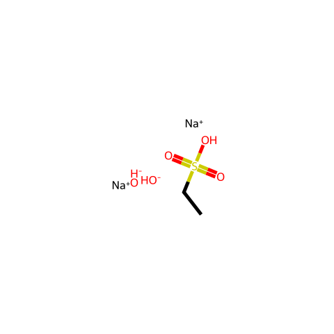 CCS(=O)(=O)O.[Na+].[Na+].[OH-].[OH-]